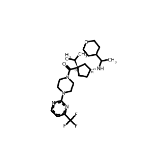 CC(N[C@@H]1CC[C@@](C(=O)N2CCN(c3nccc(C(F)(F)F)n3)CC2)(C(C)C)C1)C1CCOCC1